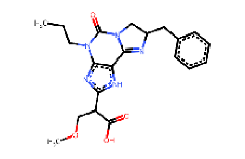 CCCN1C(=O)N2CC(Cc3ccccc3)N=C2c2[nH]c(C(COC)C(=O)O)nc21